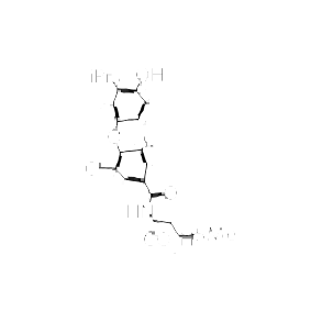 CSCC[C@@H](NC(=O)c1cc(Cl)c(Oc2ccc(O)c(C(C)C)c2)c(Cl)c1)C(=O)O